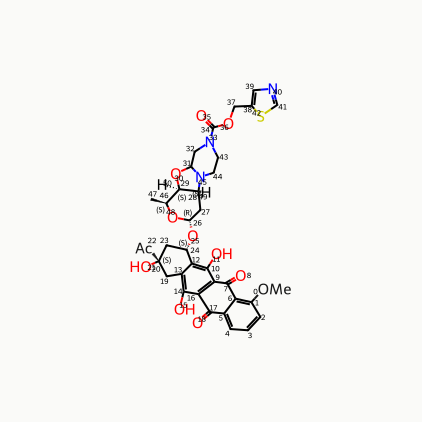 COc1cccc2c1C(=O)c1c(O)c3c(c(O)c1C2=O)C[C@@](O)(C(C)=O)C[C@@H]3O[C@H]1C[C@H]2[C@H](OC3CN(C(=O)OCc4cncs4)CCN32)[C@H](C)O1